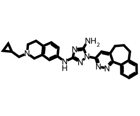 Nc1nc(Nc2ccc3c(c2)CN(CC2CC2)CC3)nn1-c1cc2c(nn1)-c1ccccc1CCC2